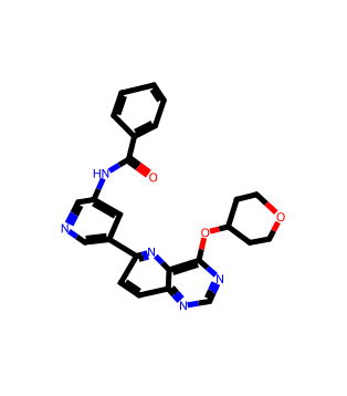 O=C(Nc1cncc(-c2ccc3ncnc(OC4CCOCC4)c3n2)c1)c1ccccc1